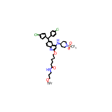 CCCOCCCNC(=O)CCCCCOc1cc(NC2CCN(S(=O)(=O)C(F)(F)F)CC2)c2cc(C(c3ccc(Cl)cc3)c3ccc(Cl)cc3)ccc2n1